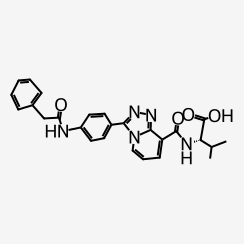 CC(C)[C@H](NC(=O)c1cccn2c(-c3ccc(NC(=O)Cc4ccccc4)cc3)nnc12)C(=O)O